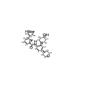 O=C(Nc1ccc(N2CCOCC2)cc1N1CCC(O)CC1)c1cccc(-c2cn[nH]c2)n1